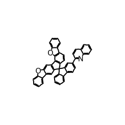 c1ccc2c(c1)-c1ccc(-c3ccc4ccccc4n3)cc1C21c2cc3c(cc2-c2c1ccc1c2oc2ccccc21)oc1ccccc13